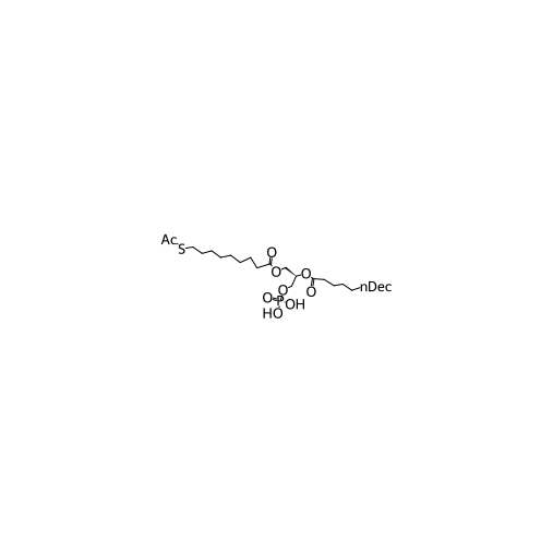 CCCCCCCCCCCCCCC(=O)O[C@H](COC(=O)CCCCCCCCSC(C)=O)COP(=O)(O)O